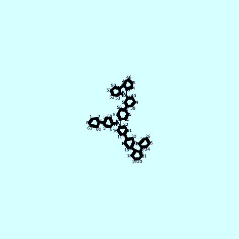 c1ccc(-c2ccc(N(c3ccc(-c4ccc(-c5ccccc5-c5ccccc5)cc4)cc3)c3ccc(-c4cccc(-n5c6ccccc6c6ccccc65)c4)cc3)cc2)cc1